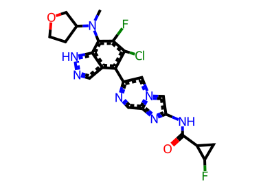 CN(c1c(F)c(Cl)c(-c2cn3cc(NC(=O)C4CC4F)nc3cn2)c2cn[nH]c12)C1CCOC1